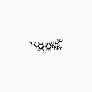 C=C/C=C/c1ccc(-c2ccc(N(CCC)CCC=C)cc2)c(C)c1